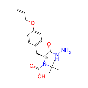 C=CCOc1ccc(C[C@@H](C(=O)NN)N(C(=O)O)C(C)(C)C)cc1